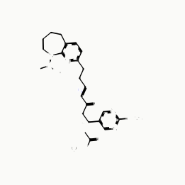 COC(=O)C[C@H](CC(=O)/C=C/CCc1ccc2c(n1)N(B(C)O)CCCC2)c1cnc(OC)nc1